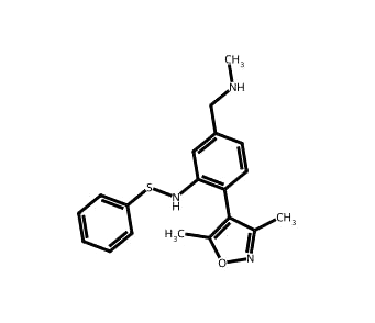 CNCc1ccc(-c2c(C)noc2C)c(NSc2ccccc2)c1